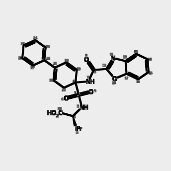 CC(C)[C@H](NS(=O)(=O)C1(NC(=O)c2nc3ccccc3o2)C=CC(c2ccccc2)=CC1)C(=O)O